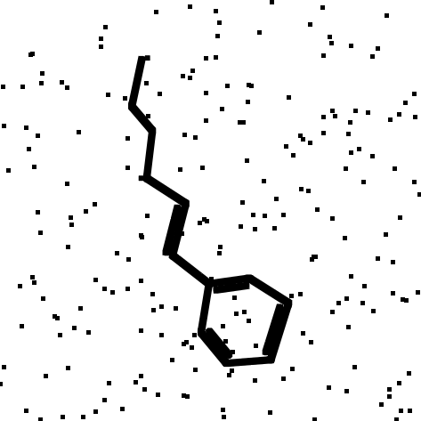 [CH2]CC[CH]C=Cc1ccccc1